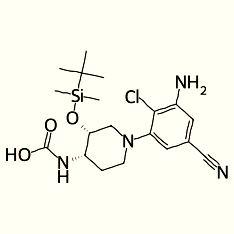 CC(C)(C)[Si](C)(C)O[C@@H]1CN(c2cc(C#N)cc(N)c2Cl)CC[C@@H]1NC(=O)O